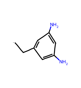 [CH2]Cc1cc(N)cc(N)c1